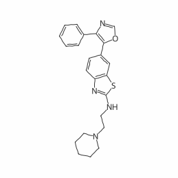 c1ccc(-c2ncoc2-c2ccc3nc(NCCN4CCCCC4)sc3c2)cc1